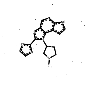 FC(F)(F)N1CCC(n2c(-c3ncc[nH]3)nc3cnc4[nH]ccc4c32)C1